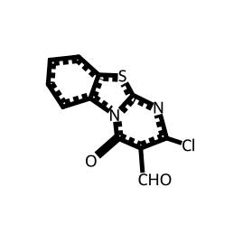 O=Cc1c(Cl)nc2sc3ccccc3n2c1=O